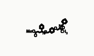 COC(=O)CC/C(=N/OCc1ccc(OCc2nc(-c3ccccc3)oc2C)cc1)c1ccccc1